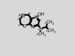 CC(C)N(C)c1cnc2c(n1)OCCNC2.Cl